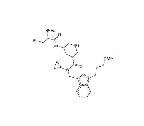 COCCCn1cc(CN(C(=O)C2CNCC(NC(=O)[C@H](CC(C)C)NC(C)=O)C2)C2CC2)c2ccccc21